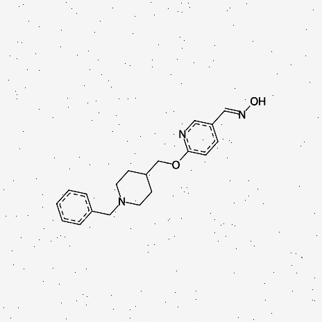 ON=Cc1ccc(OCC2CCN(Cc3ccccc3)CC2)nc1